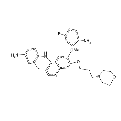 COc1cc2c(Nc3ccc(N)cc3F)ccnc2cc1OCCCN1CCOCC1.Nc1ccc(F)cc1